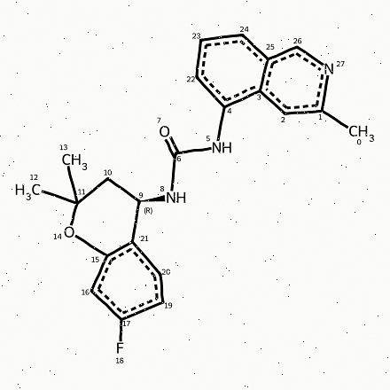 Cc1cc2c(NC(=O)N[C@@H]3CC(C)(C)Oc4cc(F)ccc43)cccc2cn1